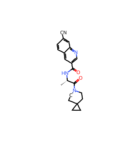 C[C@H](NC(=O)c1cnc2cc(C#N)ccc2c1)C(=O)N1CCC2(CC1)CC2